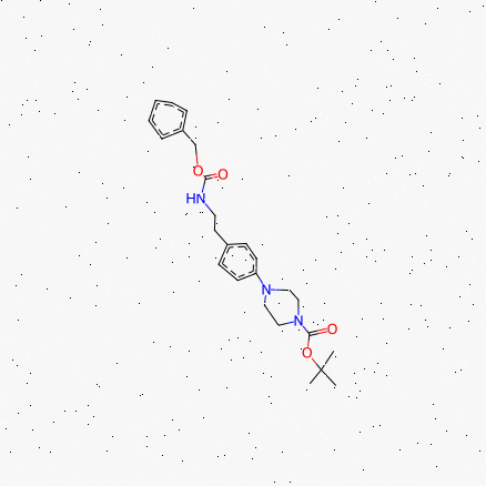 CC(C)(C)OC(=O)N1CCN(c2ccc(CCNC(=O)OCc3ccccc3)cc2)CC1